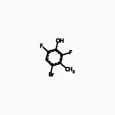 Cc1c(Br)cc(F)c(O)c1F